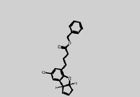 O=C(CCCc1cc(Cl)cc2c1O[C@@H]1CC=C[C@H]21)OCc1ccccc1